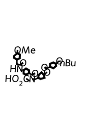 CCCCOc1ccc(C(=O)Oc2ccc(CN(CC(=O)O)C(=O)c3ccc(NC(=O)Cc4ccc(OC)cc4)cc3)cc2)cc1